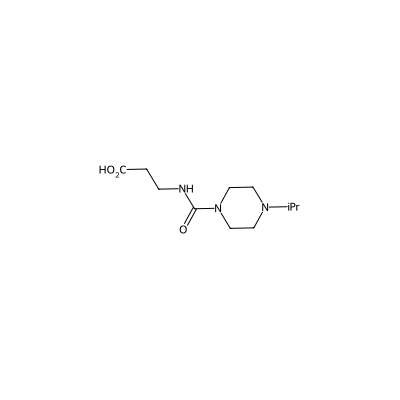 CC(C)N1CCN(C(=O)NCCC(=O)O)CC1